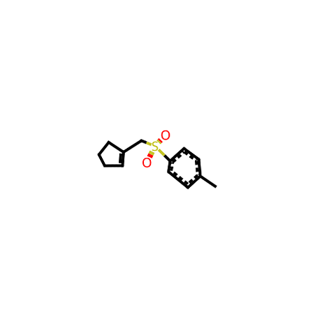 Cc1ccc(S(=O)(=O)CC2=CCCC2)cc1